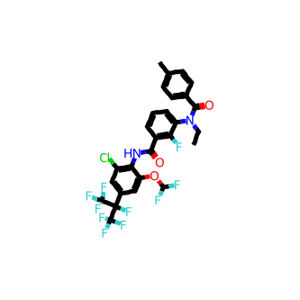 CCN(C(=O)c1ccc(C)cc1)c1cccc(C(=O)Nc2c(Cl)cc(C(F)(C(F)(F)F)C(F)(F)F)cc2OC(F)F)c1F